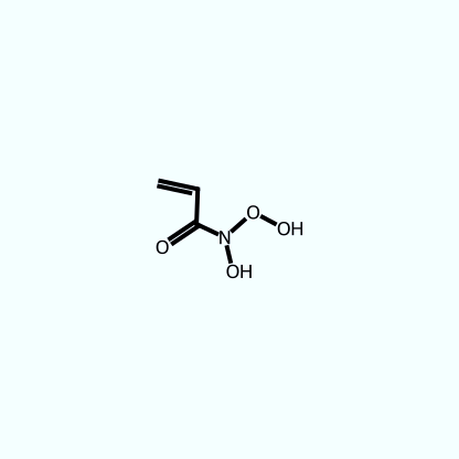 C=CC(=O)N(O)OO